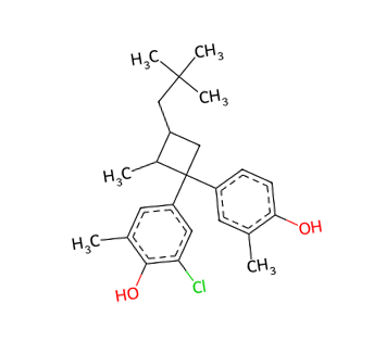 Cc1cc(C2(c3cc(C)c(O)c(Cl)c3)CC(CC(C)(C)C)C2C)ccc1O